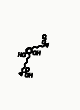 O=COC1(CCCCc2ccc(O)c(CCCCCCC3(C(=O)O)CC3)c2O)CC1